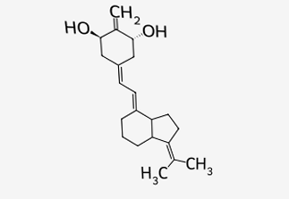 C=C1[C@H](O)CC(=C/C=C2\CCCC3C(=C(C)C)CCC23)C[C@H]1O